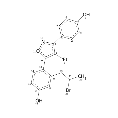 CCc1c(-c2ccc(O)cc2)noc1-c1ccc(O)cc1CC(C)Br